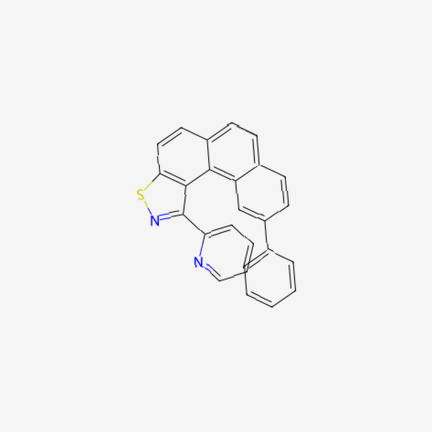 c1ccc(-c2ccc3ccc4ccc5snc(-c6ccccn6)c5c4c3c2)cc1